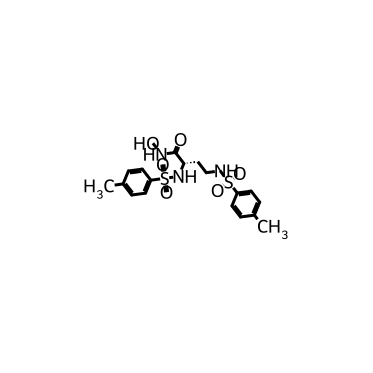 Cc1ccc(S(=O)(=O)NCC[C@H](NS(=O)(=O)c2ccc(C)cc2)C(=O)NO)cc1